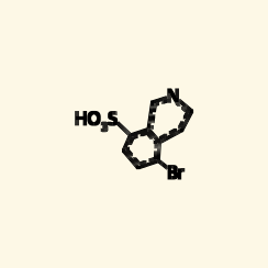 O=S(=O)(O)c1ccc(Br)c2ccncc12